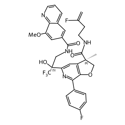 C=C(F)CCNC(=O)[C@@]1(C)COc2c1cc([C@@](O)(CNC(=O)c1cc(OC)c3ncccc3c1)C(F)(F)F)nc2-c1ccc(F)cc1